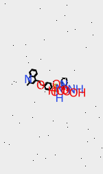 Cc1cc(COc2ccc(S(=O)(=O)NC3C(C(=O)NO)C4CCC3N4C(=O)O)cc2)c2ccccc2n1